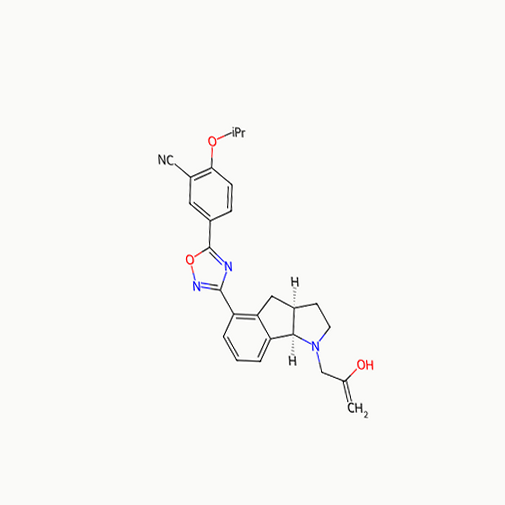 C=C(O)CN1CC[C@@H]2Cc3c(-c4noc(-c5ccc(OC(C)C)c(C#N)c5)n4)cccc3[C@@H]21